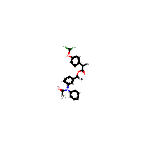 CC(C)C(C(=O)OC(C#N)c1cccc(N(C(=O)C(F)(F)F)c2ccccc2)c1)c1ccc(OC(F)F)cc1